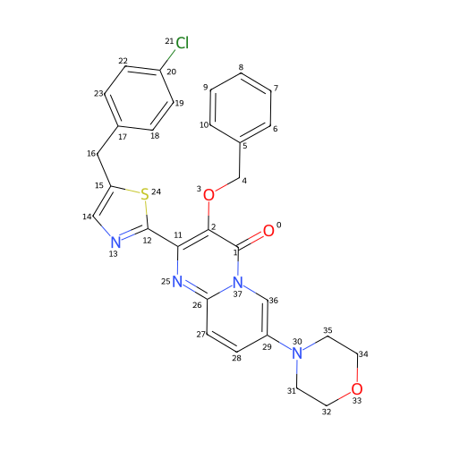 O=c1c(OCc2ccccc2)c(-c2ncc(Cc3ccc(Cl)cc3)s2)nc2ccc(N3CCOCC3)cn12